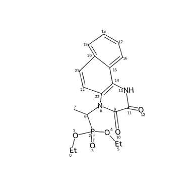 CCOP(=O)(OCC)C(C)n1c(=O)c(=O)[nH]c2c3ccccc3ccc21